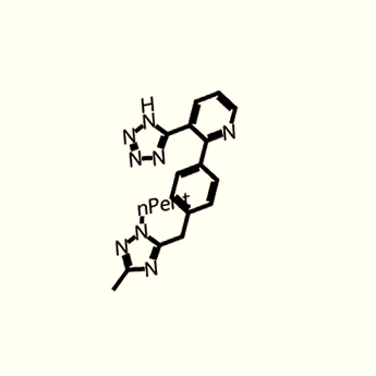 CCCCCn1nc(C)nc1Cc1ccc(-c2ncccc2-c2nnn[nH]2)cc1